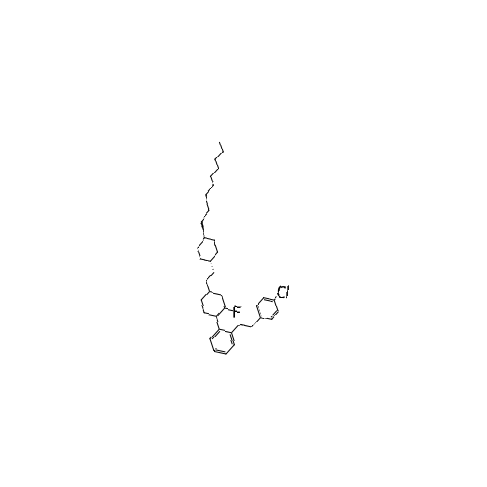 CCCCCCCCC[C@H]1CC[C@H](CCC2CCC(c3ccccc3CCc3ccc(Cl)cc3)C(F)C2)CC1